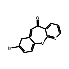 O=C1C=C2CC(Br)=CC=C2Oc2ncccc21